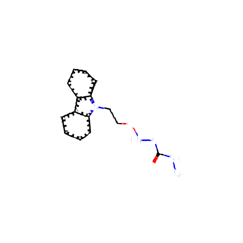 NNC(=O)NNOCCn1c2ccccc2c2ccccc21